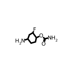 NC(=O)OC1CCC(N)CC1F